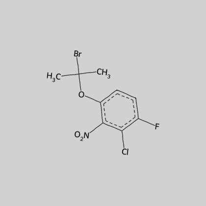 CC(C)(Br)Oc1ccc(F)c(Cl)c1[N+](=O)[O-]